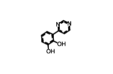 Oc1cccc(-c2ccncn2)c1O